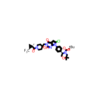 CC(C)(C)OC(=O)N1CC(C)(C)OC[C@H]1c1ccc(-n2c(Cl)cc3c(=O)n(CC4(O)CCN(C(=O)[C@]5(C)C[C@H]5C(F)(F)F)CC4)cnc32)cc1